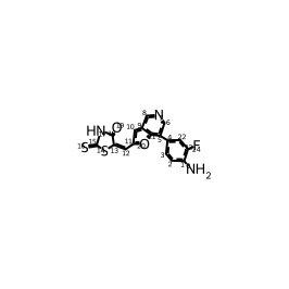 Nc1ccc(-c2cncc3cc(/C=C4/SC(=S)NC4=O)oc23)cc1F